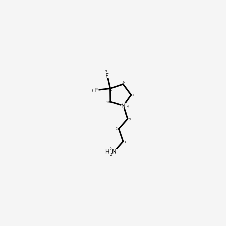 NCCCN1CCC(F)(F)C1